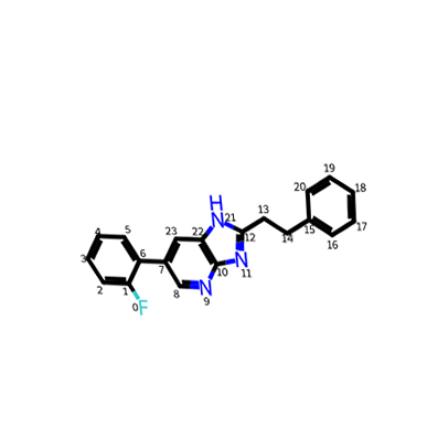 Fc1ccccc1-c1cnc2nc(CCc3ccccc3)[nH]c2c1